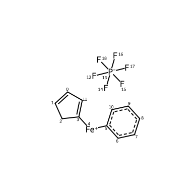 C1=CC[C]([Fe+][c]2ccccc2)=C1.F[P-](F)(F)(F)(F)F